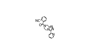 N#Cc1ccccc1C(=O)N1CCn2c(nnc2-c2ccccn2)C1